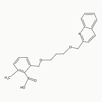 Cc1cccc(COCCCOCc2ccc3ccccc3n2)c1C(=O)O